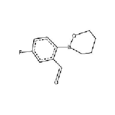 O=Cc1cc(F)ccc1B1CCCCO1